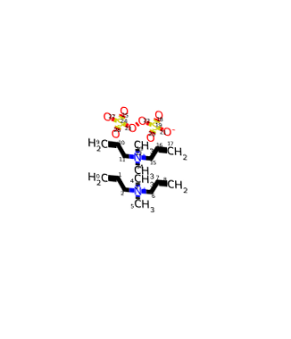 C=CC[N+](C)(C)CC=C.C=CC[N+](C)(C)CC=C.O=S(=O)([O-])OOS(=O)(=O)[O-]